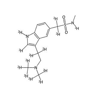 [2H]c1c(C([2H])([2H])CN(C([2H])([2H])[2H])C([2H])([2H])[2H])c2cc(C([2H])([2H])S(=O)(=O)N([2H])C)ccc2n1[2H]